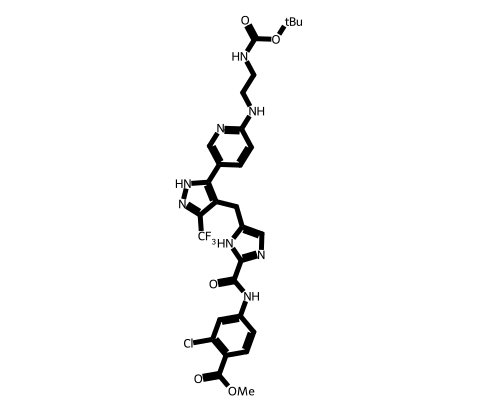 COC(=O)c1ccc(NC(=O)c2ncc(Cc3c(C(F)(F)F)n[nH]c3-c3ccc(NCCNC(=O)OC(C)(C)C)nc3)[nH]2)cc1Cl